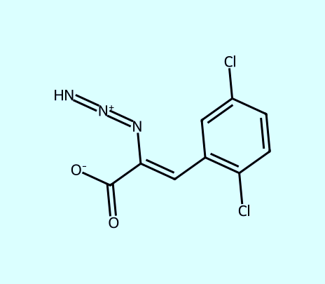 N=[N+]=NC(=Cc1cc(Cl)ccc1Cl)C(=O)[O-]